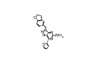 Nc1nc(-c2ccco2)c2nnn(Cc3ccc4c(c3)CCO4)c2n1